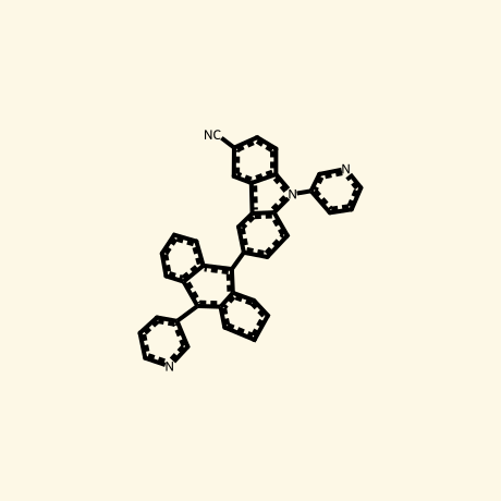 N#Cc1ccc2c(c1)c1cc(-c3c4ccccc4c(-c4cccnc4)c4ccccc34)ccc1n2-c1cccnc1